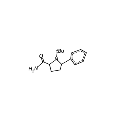 CC(C)(C)N1C(C(N)=O)CCC1c1ccccc1